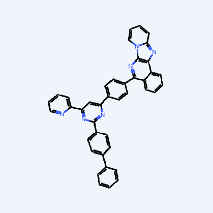 c1ccc(-c2ccc(-c3nc(-c4ccc(-c5nc6c(nc7ccccn76)c6ccccc56)cc4)cc(-c4ccccn4)n3)cc2)cc1